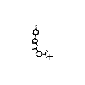 CC(C)(C)OC(=O)N1CCOC(C(=O)Nc2ncc(-c3ccc(F)cc3)s2)C1